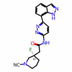 N#CN1CCC[C@](F)(CC(=O)Nc2ccc(-c3cccc4cn[nH]c34)nn2)C1